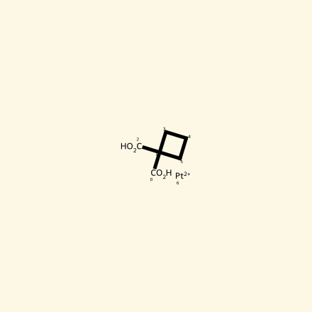 O=C(O)C1(C(=O)O)CCC1.[Pt+2]